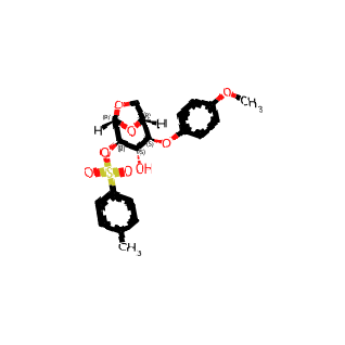 COc1ccc(O[C@H]2[C@H](O)[C@@H](OS(=O)(=O)c3ccc(C)cc3)[C@@H]3OC[C@H]2O3)cc1